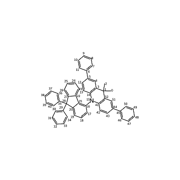 CC1(C)c2cc(-c3ccccc3)ccc2N(c2cccc3c2-c2ccccc2C3(c2ccccc2)c2ccccc2)c2ccc(-c3ccccc3)cc21